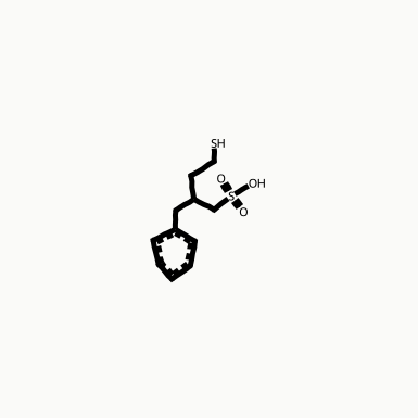 O=S(=O)(O)CC(CCS)Cc1ccccc1